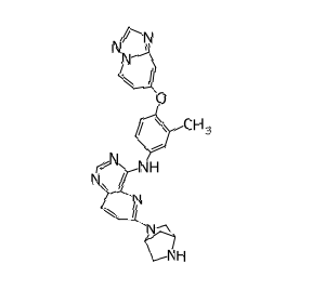 Cc1cc(Nc2ncnc3ccc(N4CC5CC4CN5)nc23)ccc1Oc1ccn2ncnc2c1